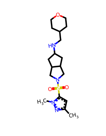 Cc1cc(S(=O)(=O)N2CC3CC(NCC4CCOCC4)CC3C2)n(C)n1